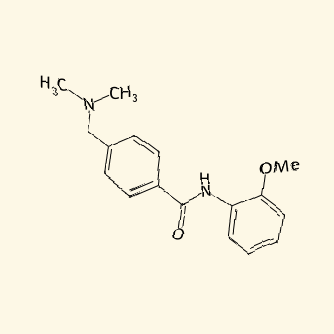 COc1ccccc1NC(=O)c1ccc(CN(C)C)cc1